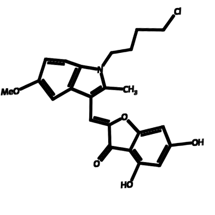 COc1ccc2c(c1)c(/C=C1\Oc3cc(O)cc(O)c3C1=O)c(C)n2CCCCCl